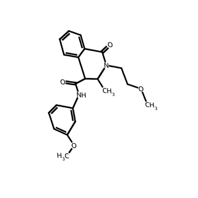 COCCN1C(=O)c2ccccc2C(C(=O)Nc2cccc(OC)c2)C1C